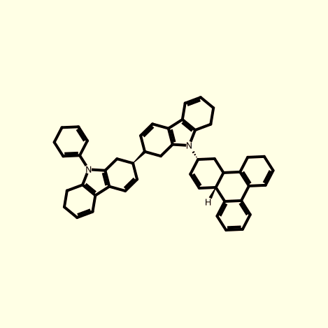 C1=CC(n2c3c(c4c2C[C@@H](C2C=Cc5c6c(n([C@H]7C=C[C@H]8c9ccccc9C9=C(CCC=C9)C8C7)c5C2)CCC=C6)C=C4)C=CCC3)=CCC1